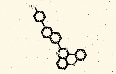 Cc1ccc(-c2ccc3cc(-c4nc5c6c(cccc6n4)Sc4ccccc4-5)ccc3c2)cc1